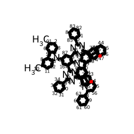 Cc1ccc2c(c1)c1cc(C)ccc1n2-c1cc(-c2nc(-c3ccccc3)nc(-c3ccccc3)n2)c(-n2c3ccc(-c4ccccc4)cc3c3cc(-c4cccc(-c5ccccc5)n4)ccc32)c(-c2nc(-c3ccccc3)nc(-c3ccccc3)n2)c1